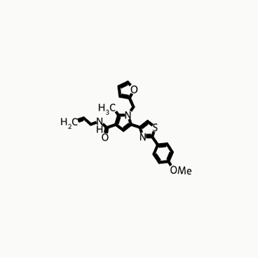 C=CCNC(=O)c1cc(-c2csc(-c3ccc(OC)cc3)n2)n(Cc2ccco2)c1C